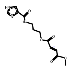 COC(=O)/C=C/C(=O)OCCCNC(=O)c1c[nH]cn1